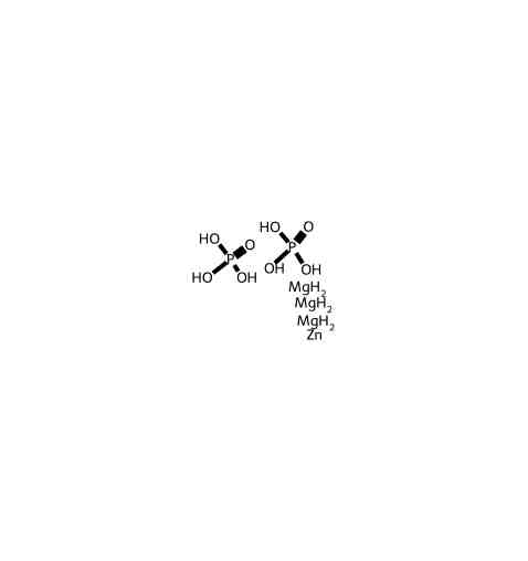 O=P(O)(O)O.O=P(O)(O)O.[MgH2].[MgH2].[MgH2].[Zn]